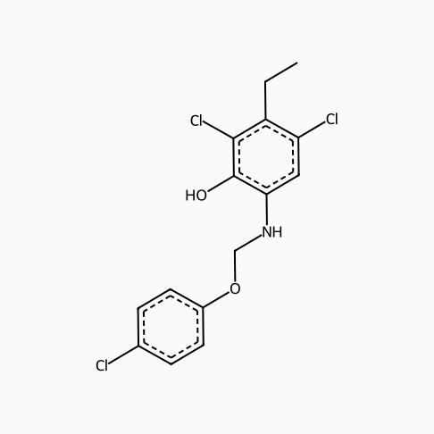 CCc1c(Cl)cc(NCOc2ccc(Cl)cc2)c(O)c1Cl